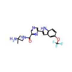 CC(C)(N)CNC(=O)c1cncc(-c2cc3cc(OC(F)(F)F)ccc3[nH]2)n1